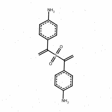 C=C(c1ccc(N)cc1)S(=O)(=O)C(=C)c1ccc(N)cc1